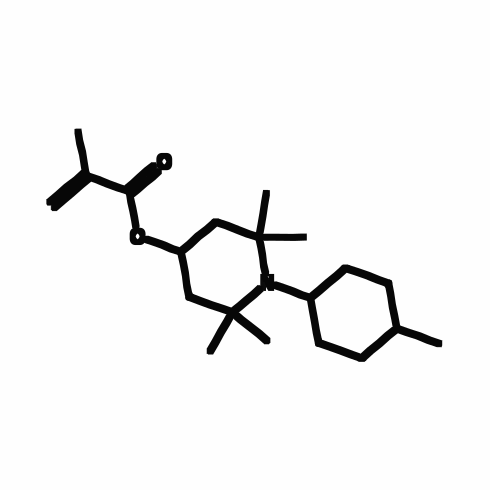 C=C(C)C(=O)OC1CC(C)(C)N(C2CCC(C)CC2)C(C)(C)C1